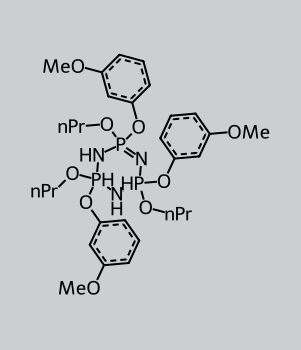 CCCOP1(Oc2cccc(OC)c2)=N[PH](OCCC)(Oc2cccc(OC)c2)N[PH](OCCC)(Oc2cccc(OC)c2)N1